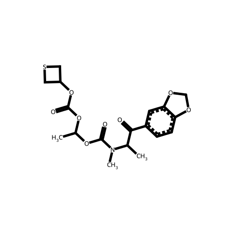 CC(OC(=O)OC1CSC1)OC(=O)N(C)C(C)C(=O)c1ccc2c(c1)OCO2